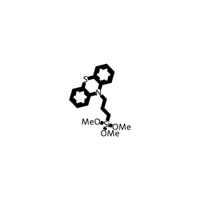 CO[Si](CCCN1c2ccccc2Sc2ccccc21)(OC)OC